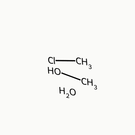 CCl.CO.O